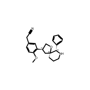 COc1ccc(CC#N)cc1[C@H]1CO[C@]2(CCCN[C@H]2c2ccccc2)C1